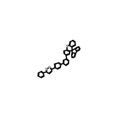 c1ccc(-c2ccc(-c3ccc(-c4cccc(-c5ccc6c(c5)C5(c7ccccc7S6)c6ccccc6-c6ccccc65)c4)cc3)nn2)cc1